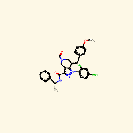 COc1ccc(/C=C2\CN(C=O)Cc3c(C(=O)N[C@H](C)c4ccccc4)nn(-c4ccc(Cl)cc4Cl)c32)cc1